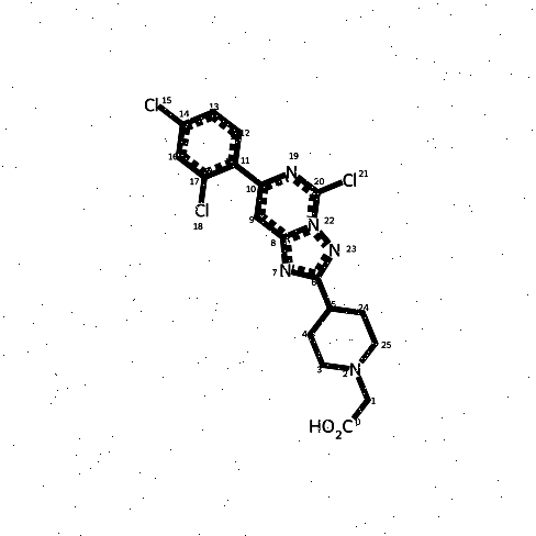 O=C(O)CN1CCC(c2nc3cc(-c4ccc(Cl)cc4Cl)nc(Cl)n3n2)CC1